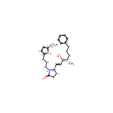 C[C@@H](CCCc1ccccc1)[C@H](O)C=C[C@H]1CCC(=O)N1CCCc1ccc(C(=O)O)s1